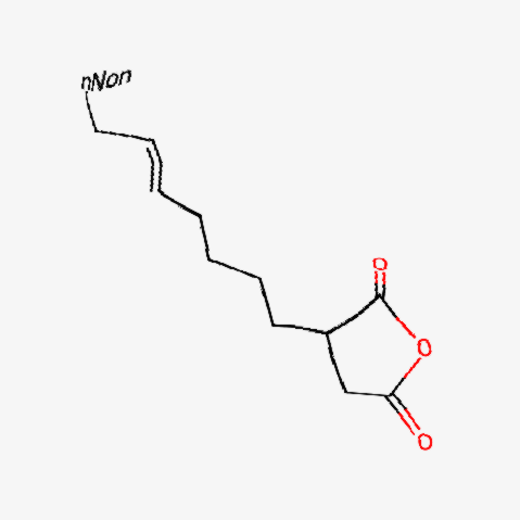 CCCCCCCCCCC=CCCCCC1CC(=O)OC1=O